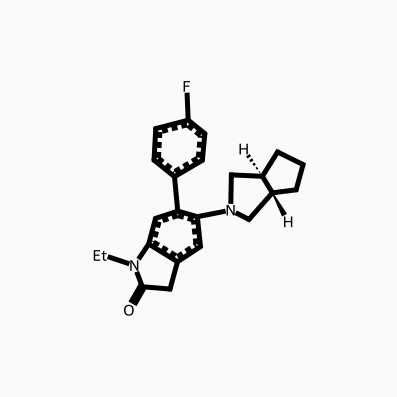 CCN1C(=O)Cc2cc(N3C[C@H]4CCC[C@@H]4C3)c(-c3ccc(F)cc3)cc21